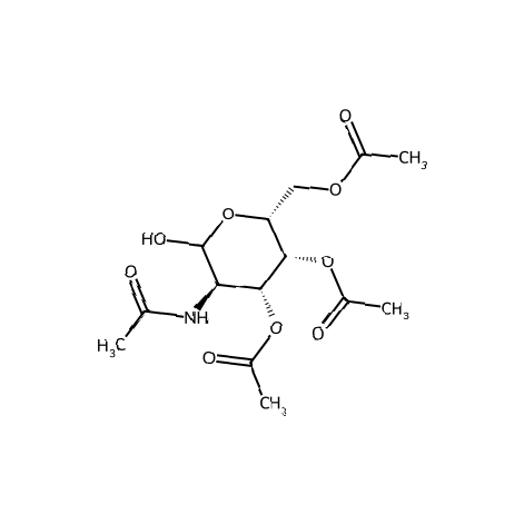 CC(=O)N[C@H]1C(O)O[C@H](COC(C)=O)[C@H](OC(C)=O)[C@@H]1OC(C)=O